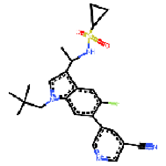 CC(NS(=O)(=O)C1CC1)c1cn(CC(C)(C)C)c2cc(-c3cncc(C#N)c3)c(F)cc12